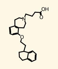 O=C(O)CCCN1CCc2cccc(OCCC3CCCc4ccccc43)c2CC1